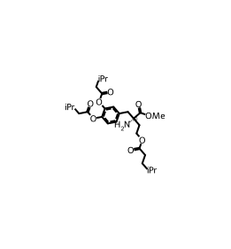 COC(=O)[C@@](N)(CCOC(=O)CCC(C)C)Cc1ccc(OC(=O)CC(C)C)c(OC(=O)CC(C)C)c1